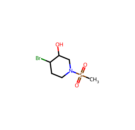 CS(=O)(=O)N1CCC(Br)C(O)C1